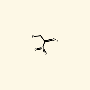 C=C(CF)[SH](=O)=O